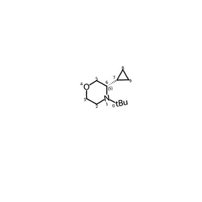 CC(C)(C)N1CCOC[C@@H]1C1CC1